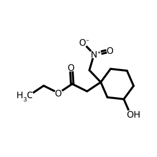 CCOC(=O)CC1(C[N+](=O)[O-])CCCC(O)C1